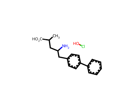 CC(CC(N)Cc1ccc(-c2ccccc2)cc1)C(=O)O.OCl